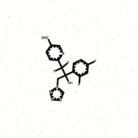 O=Cc1ccc(C(F)(F)C(O)(Cn2cnnn2)c2ccc(F)cc2F)nc1